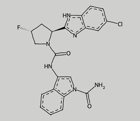 NC(=O)n1cc(NC(=O)N2C[C@H](F)C[C@H]2c2nc3cc(Cl)ccc3[nH]2)c2ccccc21